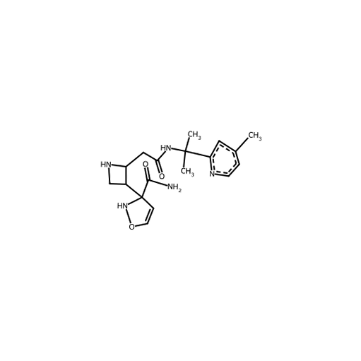 Cc1ccnc(C(C)(C)NC(=O)CC2NCC2C2(C(N)=O)C=CON2)c1